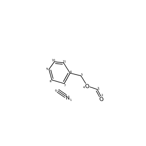 C#N.O=[C]OCc1ccccc1